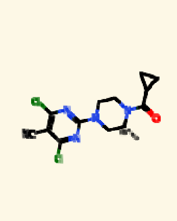 C[C@@H]1CN(c2nc(Cl)c(C#N)c(Cl)n2)CCN1C(=O)C1CC1